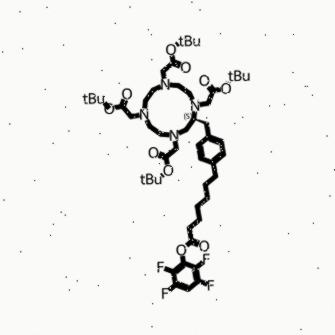 CC(C)(C)OC(=O)CN1CCN(CC(=O)OC(C)(C)C)CCN(CC(=O)OC(C)(C)C)[C@@H](Cc2ccc(CCCCCCC(=O)Oc3c(F)c(F)cc(F)c3F)cc2)CN(CC(=O)OC(C)(C)C)CC1